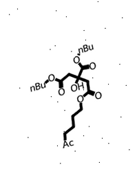 CCCCOC(=O)CC(O)(CC(=O)OCCCCC(C)=O)C(=O)OCCCC